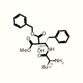 CC[C@H](C)[C@H](N)C(=O)N[C@@H](Cc1ccccc1)[C@@](O)(C(=O)OC)C(=O)OCc1ccccc1